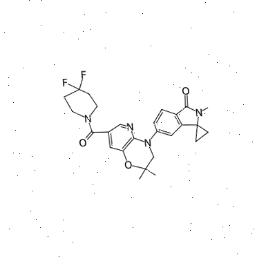 CN1C(=O)c2ccc(N3CC(C)(C)Oc4cc(C(=O)N5CCC(F)(F)CC5)cnc43)cc2C12CC2